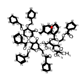 CC1O[C@@H](OC2C(OC(=O)c3ccccc3)[C@H](OCc3ccccc3)OC(COC(=O)c3ccccc3)[C@H]2O[C@H](O)/C(OC(=O)c2ccccc2)=C2\OC(C)(C)O[C@H]2CCOC(=O)c2ccccc2)C(OCc2ccccc2)C(OCc2ccccc2)[C@@H]1OCc1ccccc1